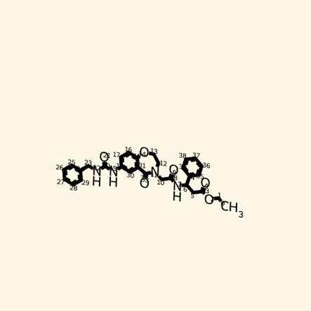 CCOC(=O)CC(NC(=O)CN1CCOc2ccc(NC(=O)NCc3ccccc3)cc2C1=O)c1ccccc1